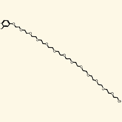 Cc1cccc(OCCOCCOCCOCCOCCOCCOCCOCCOCCOCCOCCOCCOCCO)c1